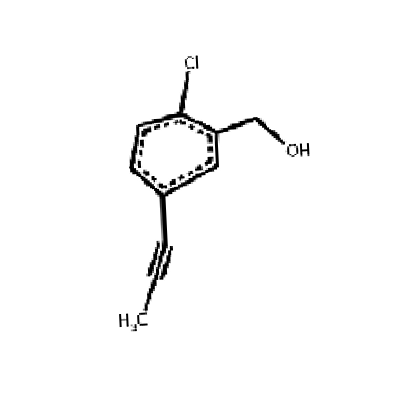 CC#Cc1ccc(Cl)c(CO)c1